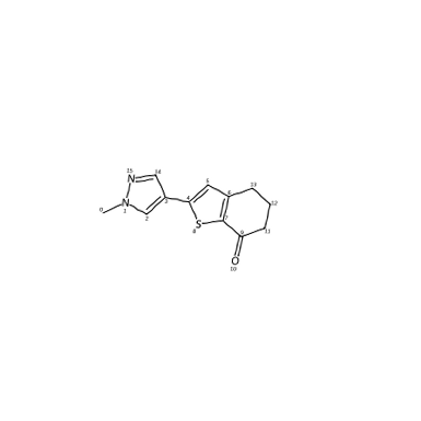 Cn1cc(-c2cc3c(s2)C(=O)CCC3)cn1